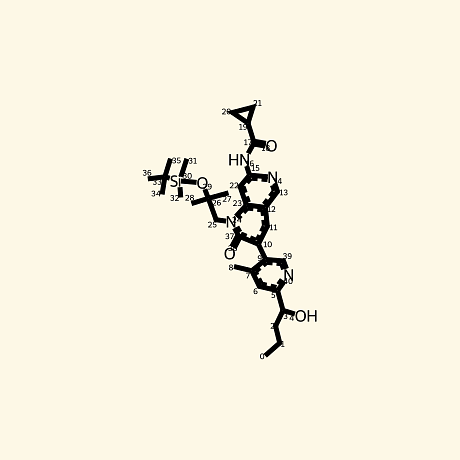 CCCC(O)c1cc(C)c(-c2cc3cnc(NC(=O)C4CC4)cc3n(CC(C)(C)O[Si](C)(C)C(C)(C)C)c2=O)cn1